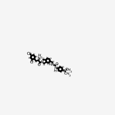 CN(C)c1ccc(NC(=O)NCc2ccc3c(c2)CN(C(=O)C(N)Cc2ccc(Cl)cc2Cl)C3)cc1